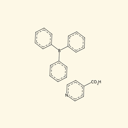 O=C(O)c1ccncc1.c1ccc(B(c2ccccc2)c2ccccc2)cc1